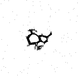 Cc1ccc2c(c1)C(N)CCO2.Cl